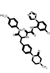 CN1CCN(c2ccc(CC(NC(=O)C(=O)Nc3cc(Cl)ccc3-n3cnnn3)C(=O)Nc3ccc(C(=O)O)cc3)cc2)C(=O)C1